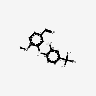 COc1ccc(C=O)cc1Oc1ccc(C(F)(F)F)cc1Br